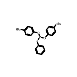 CC(C)(C)c1ccc(OP(Oc2ccccc2)Oc2ccc(C(C)(C)C)cc2)cc1